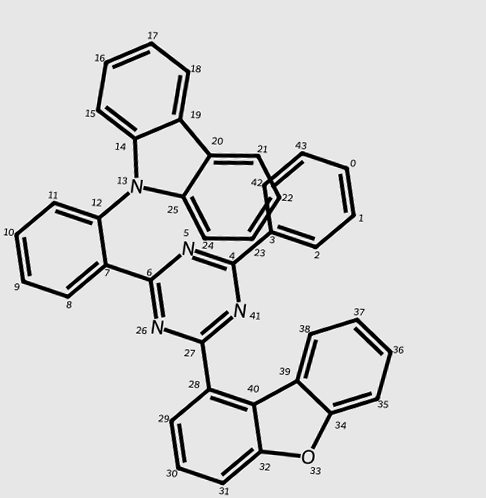 c1ccc(-c2nc(-c3ccccc3-n3c4ccccc4c4ccccc43)nc(-c3cccc4oc5ccccc5c34)n2)cc1